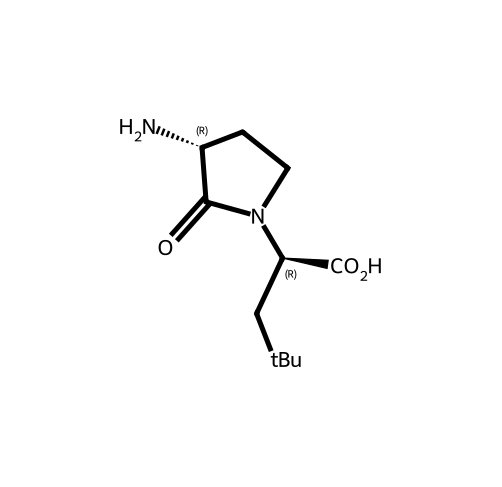 CC(C)(C)C[C@H](C(=O)O)N1CC[C@@H](N)C1=O